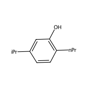 CCCc1ccc(C(C)C)cc1O